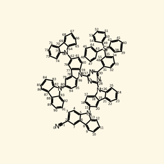 N#Cc1ccc2c(c1)c1ccccc1n2-c1ccc2c(c1)c1ccccc1n2-c1nc(-c2cccc([Si](c3ccccc3)(c3ccccc3)c3ccccc3)c2)nc(-n2c3ccc(-n4c5ccccc5c5ccccc54)cc3c3cc(-n4c5ccccc5c5ccccc54)ccc32)n1